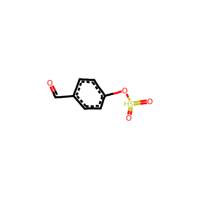 O=Cc1ccc(O[SH](=O)=O)cc1